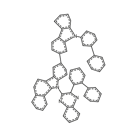 c1ccc(-c2cccc(-n3c4ccccc4c4ccc(-c5ccc6c(c5)c5ccc7ccccc7c5n6-c5nc6ccccc6nc5-c5ccccc5-c5ccccc5)cc43)c2)cc1